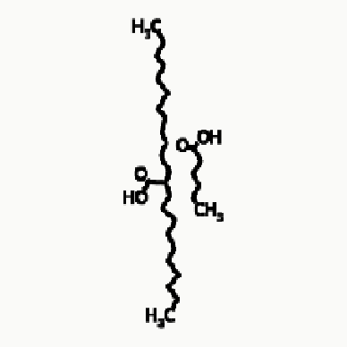 CCCCCC(=O)O.CCCCCCCCCCCCC(CCCCCCCCCC)C(=O)O